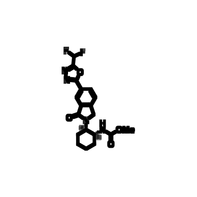 COC(=O)N[C@@H]1CCCC[C@H]1N1Cc2ccc(-c3nnc(C(F)F)o3)cc2C1=O